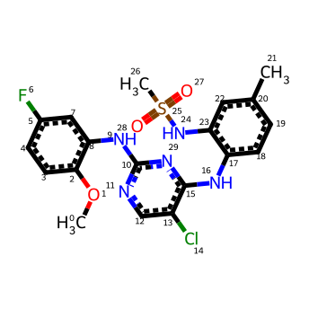 COc1ccc(F)cc1Nc1ncc(Cl)c(Nc2ccc(C)cc2NS(C)(=O)=O)n1